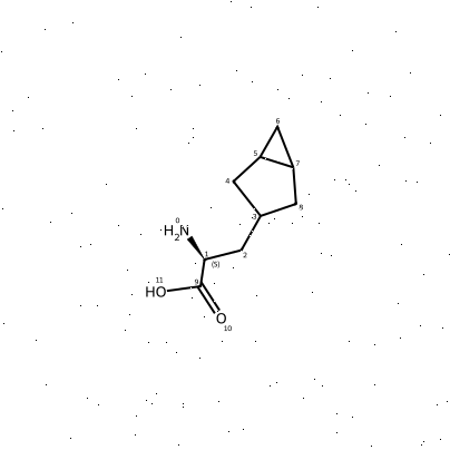 N[C@@H](CC1CC2CC2C1)C(=O)O